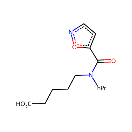 CCCN(CCCCC(=O)O)C(=O)c1ccno1